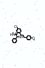 CNC(=O)C(NC(CCc1ccc(OC)cc1)c1ccc(Cl)cc1)c1ccccc1